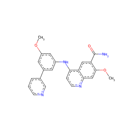 COc1cc(Nc2ccnc3cc(OC)c(C(N)=O)cc23)cc(-c2cccnc2)c1